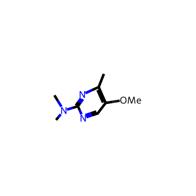 COc1cnc(N(C)C)nc1C